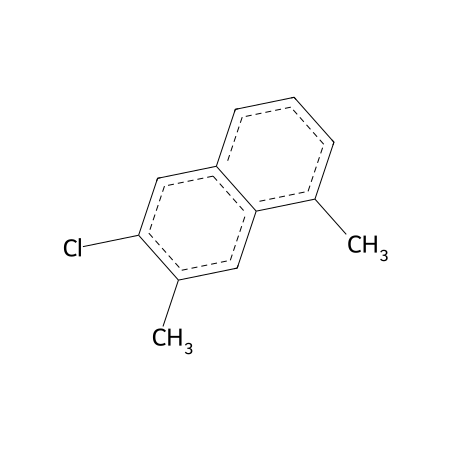 Cc1cc2c(C)cccc2cc1Cl